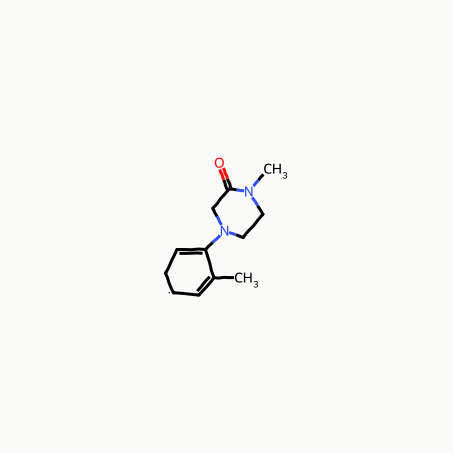 CC1=C[CH]CC=C1N1CCN(C)C(=O)C1